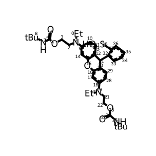 CCN(CCOC(=O)NC(C)(C)C)c1ccc2c(c1)Oc1cc(N(CC)CCOC(=O)NC(C)(C)C)ccc1C2c1ccccc1S(=O)(=O)O